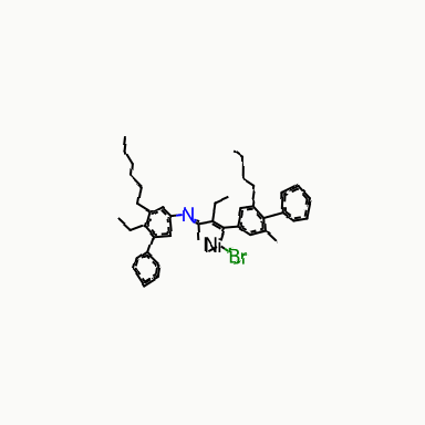 CCCCCCc1cc(N=C(C)C(CC)=[C](c2cc(C)c(-c3ccccc3)c(CCCC)c2)[Ni]([CH3])[Br])cc(-c2ccccc2)c1CC